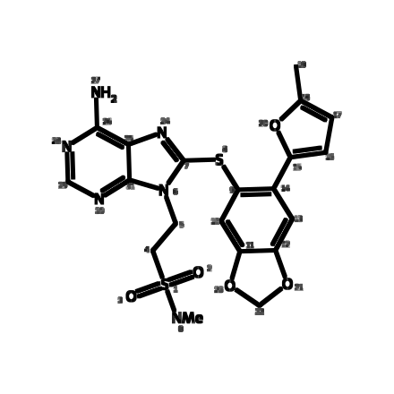 CNS(=O)(=O)CCn1c(Sc2cc3c(cc2-c2ccc(C)o2)OCO3)nc2c(N)ncnc21